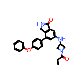 CCC(=O)N1CC(Nc2cc3c(c(-c4ccc(Oc5ccccc5)cc4)c2)CNC3=O)C1